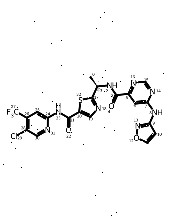 C[C@@H](NC(=O)c1cc(Nc2ccon2)ncn1)c1ncc(C(=O)Nc2cc(C(F)(F)F)c(Cl)cn2)s1